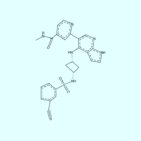 CNC(=O)c1ccnc(-c2cnc3[nH]ccc3c2N[C@H]2C[C@@H](NS(=O)(=O)c3cccc(C#N)c3)C2)c1